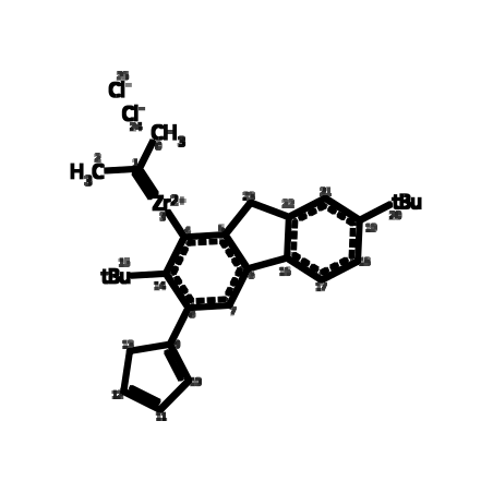 C[C](C)=[Zr+2][c]1c2c(cc(C3=CC=CC3)c1C(C)(C)C)-c1ccc(C(C)(C)C)cc1C2.[Cl-].[Cl-]